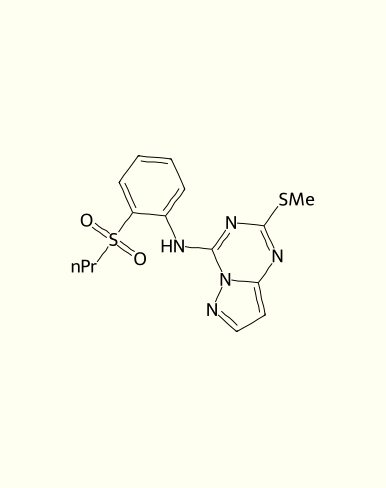 CCCS(=O)(=O)c1ccccc1Nc1nc(SC)nc2ccnn12